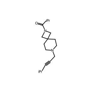 CC(C)C#CCN1CCC2(CC1)CN(C(=O)C(C)C)C2